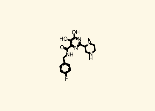 CN1CCNCC1c1nc(O)c(O)c(C(=O)NCc2ccc(F)cc2)n1